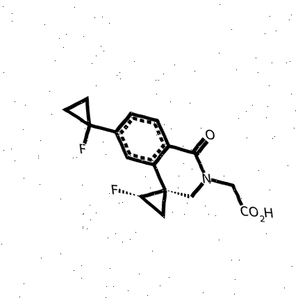 O=C(O)CN1C[C@@]2(C[C@@H]2F)c2cc(C3(F)CC3)ccc2C1=O